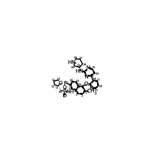 Cc1ccc2c(NS(=O)(=O)C[C@@H]3CCCO3)c(F)ccc2c1Oc1ncccc1-c1ccnc(N[C@H]2CCCNC2)n1